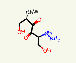 CN[C@@H](CO)C(=O)C(=O)[C@H](CO)NN